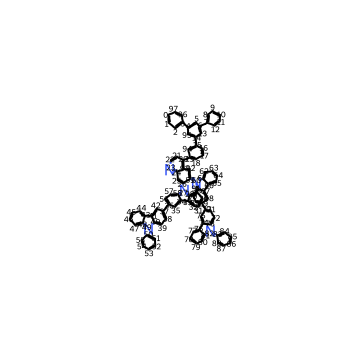 c1ccc(-c2cc(-c3ccccc3)cc(-c3cccc(-c4ccnc5cc(-n6c7ccccc7c7cc(-c8ccc9c(c8)c8ccccc8n9-c8ccccc8)ccc76)c(-n6c7ccccc7c7cc(-c8ccc9c(c8)c8ccccc8n9-c8ccccc8)ccc76)cc45)c3)c2)cc1